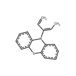 C=C/C(=C\C)N1c2ccccc2Sc2ccccc21